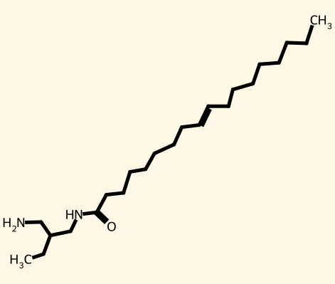 CCCCCCCCC=CCCCCCCCC(=O)NCC(CC)CN